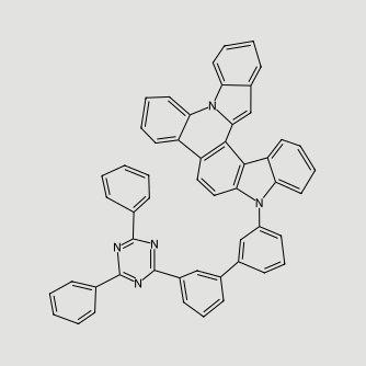 c1ccc(-c2nc(-c3ccccc3)nc(-c3cccc(-c4cccc(-n5c6ccccc6c6c7c(ccc65)c5ccccc5n5c6ccccc6cc75)c4)c3)n2)cc1